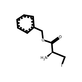 N[C@H](CI)C(=O)OCc1ccccc1